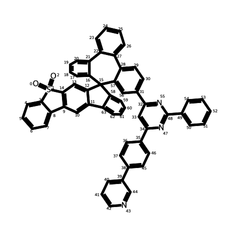 O=S1(=O)c2ccccc2-c2cc3c(cc21)C1(c2ccccc2-c2ccccc2-c2ccc(-c4cc(-c5ccc(-c6cccnc6)cc5)nc(-c5ccccc5)n4)cc21)c1ccccc1-3